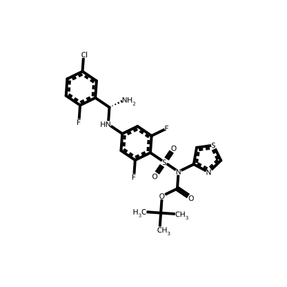 CC(C)(C)OC(=O)N(c1cscn1)S(=O)(=O)c1c(F)cc(N[C@@H](N)c2cc(Cl)ccc2F)cc1F